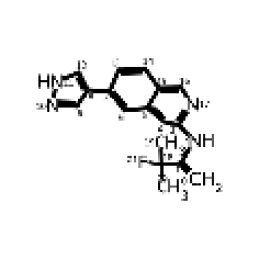 C=C(Nc1cc2cc(-c3cn[nH]c3)ccc2cn1)C(C)(C)F